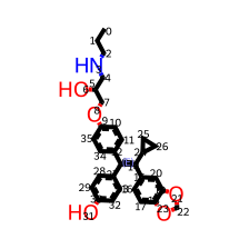 CCCNCC(O)COc1ccc(/C(=C(/c2ccc3c(c2)OCO3)C2CC2)c2ccc(O)cc2)cc1